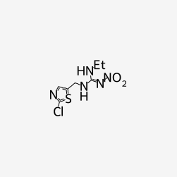 CCN/C(=N\[N+](=O)[O-])NCc1cnc(Cl)s1